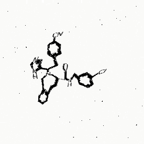 N#Cc1ccc(CC(c2cnc[nH]2)N2Cc3ccccc3C[C@H]2C(=O)NCc2cccc(Cl)c2)cc1